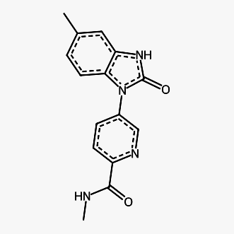 CNC(=O)c1ccc(-n2c(=O)[nH]c3cc(C)ccc32)cn1